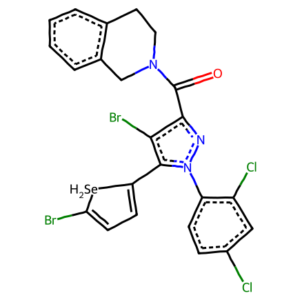 O=C(c1nn(-c2ccc(Cl)cc2Cl)c(C2=CC=C(Br)[SeH2]2)c1Br)N1CCc2ccccc2C1